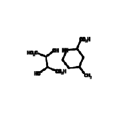 CC1CCNC(C(=O)O)C1.O=C(O)C(O)C(O)C(=O)O